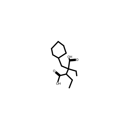 CCC(C(=O)O)C(CC)(CC1CCCCC1)C(=O)O